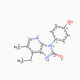 CCc1c(C)cnc2c1[nH]c(=O)n2-c1ccc(O)cc1